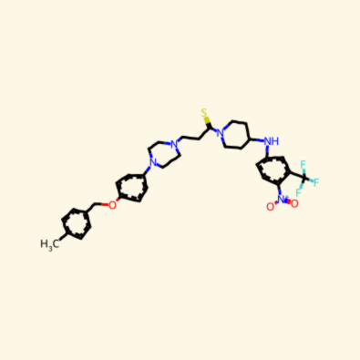 Cc1ccc(COc2ccc(N3CCN(CCC(=S)N4CCC(Nc5ccc([N+](=O)[O-])c(C(F)(F)F)c5)CC4)CC3)cc2)cc1